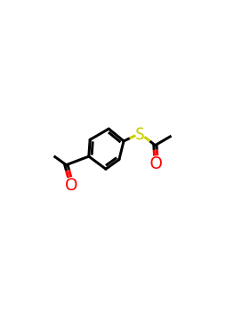 CC(=O)Sc1ccc(C(C)=O)cc1